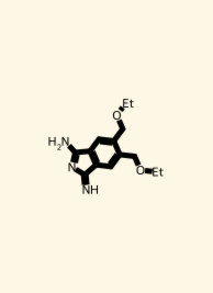 CCOCc1cc2c(cc1COCC)C(N)=NC2=N